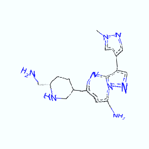 Cn1cc(-c2cnn3c(N)cc(C4CC[C@@H](CN)NC4)nc23)cn1